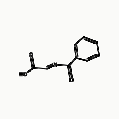 O=C(O)C=NC(=O)c1ccccc1